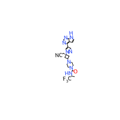 C[C@@H](NC(=O)N1CCN([C@H]2C[C@](CC#N)(n3cc(-c4ncnc5[nH]ccc45)cn3)C2)CC1)C(F)(F)F